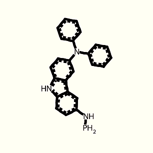 PNc1ccc2[nH]c3ccc(N(c4ccccc4)c4ccccc4)cc3c2c1